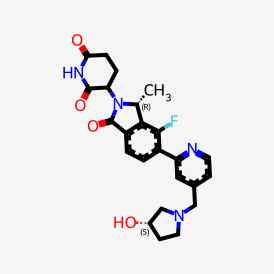 C[C@@H]1c2c(ccc(-c3cc(CN4CC[C@H](O)C4)ccn3)c2F)C(=O)N1C1CCC(=O)NC1=O